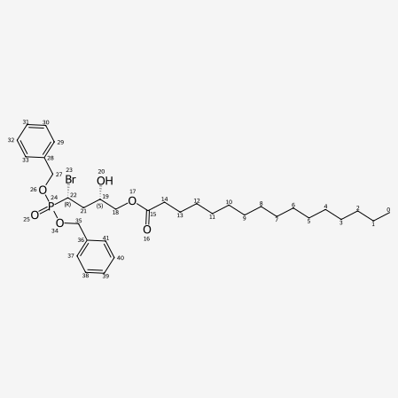 CCCCCCCCCCCCCCCC(=O)OC[C@@H](O)C[C@@H](Br)P(=O)(OCc1ccccc1)OCc1ccccc1